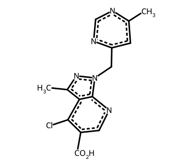 Cc1cc(Cn2nc(C)c3c(Cl)c(C(=O)O)cnc32)ncn1